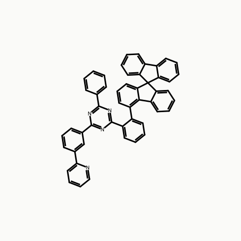 c1ccc(-c2nc(-c3cccc(-c4ccccn4)c3)nc(-c3ccccc3-c3cccc4c3-c3ccccc3C43c4ccccc4-c4ccccc43)n2)cc1